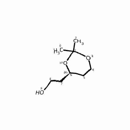 CC1(C)OCC[C@@H](CCO)O1